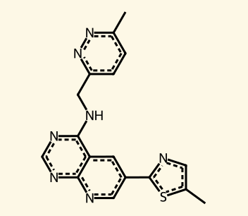 Cc1ccc(CNc2ncnc3ncc(-c4ncc(C)s4)cc23)nn1